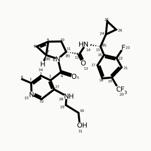 Cc1cc(C(=O)N2[C@@H]3C=C3C[C@@H]2C(=O)N[C@@H](c2ccc(C(F)(F)F)cc2F)C2CC2)c(NCCO)cn1